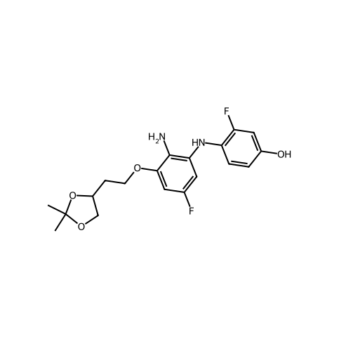 CC1(C)OCC(CCOc2cc(F)cc(Nc3ccc(O)cc3F)c2N)O1